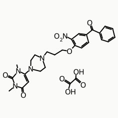 Cn1c(N2CCN(CCCOc3ccc(C(=O)c4ccccc4)cc3[N+](=O)[O-])CC2)cc(=O)n(C)c1=O.O=C(O)C(=O)O